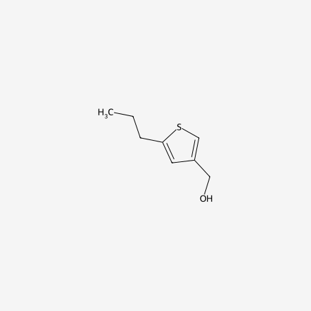 CCCc1cc(CO)cs1